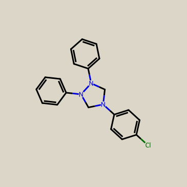 Clc1ccc(N2CN(c3ccccc3)N(c3ccccc3)C2)cc1